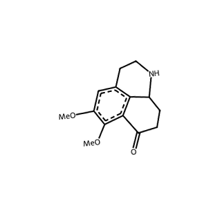 COc1cc2c3c(c1OC)C(=O)CCC3NCC2